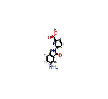 COC(=O)c1cccc(N2Cc3ccc(N)cc3C2=O)n1